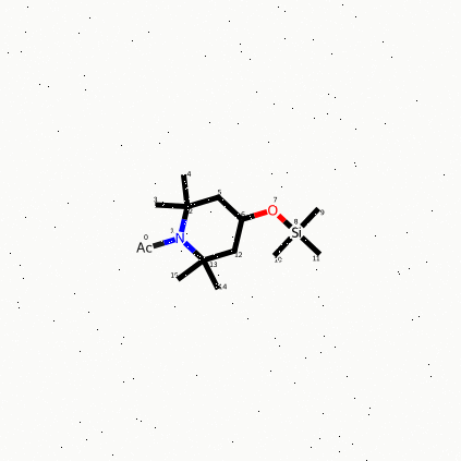 CC(=O)N1C(C)(C)CC(O[Si](C)(C)C)CC1(C)C